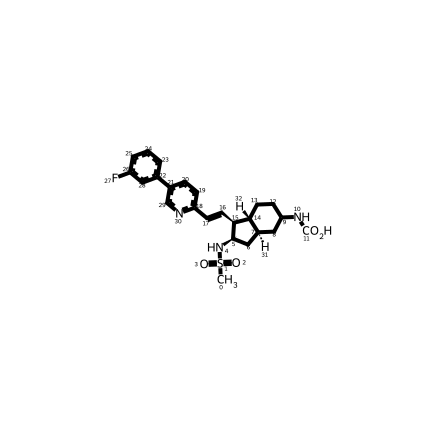 CS(=O)(=O)N[C@@H]1C[C@@H]2CC(NC(=O)O)CC[C@H]2[C@@H]1/C=C/c1ccc(-c2cccc(F)c2)cn1